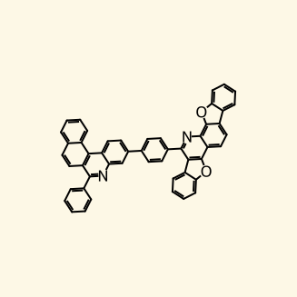 c1ccc(-c2nc3cc(-c4ccc(-c5nc6c(ccc7c8ccccc8oc76)c6oc7ccccc7c56)cc4)ccc3c3c2ccc2ccccc23)cc1